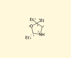 CC[C@H]1NCC(CC)(CC)O1